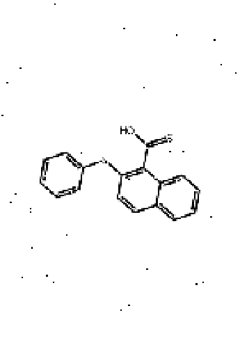 OC(=S)c1c(Sc2ccccc2)ccc2ccccc12